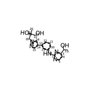 CC(O)c1ccnc(Nc2cccc(-c3cnn(C[C@](C)(O)CO)c3)c2)n1